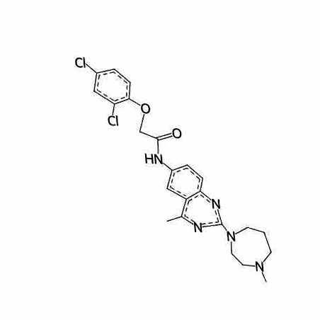 Cc1nc(N2CCCN(C)CC2)nc2ccc(NC(=O)COc3ccc(Cl)cc3Cl)cc12